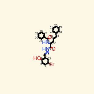 O=C(N/N=C/C1=C(O)C=CC(Br)C1)/C(=C/C=C/c1ccccc1)NC(=O)c1ccccc1